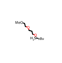 CCCC[SiH2]OCCCOCCOC